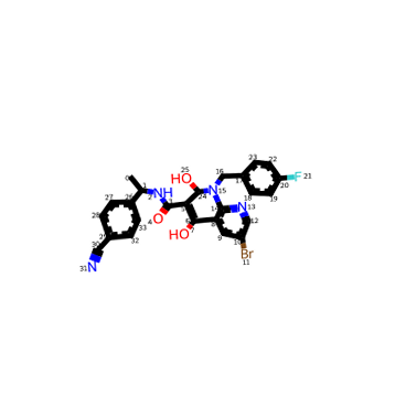 CC(NC(=O)C1=C(O)c2cc(Br)cnc2N(Cc2ccc(F)cc2)C1O)c1ccc(C#N)cc1